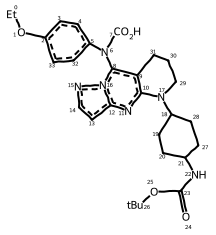 CCOc1ccc(N(C(=O)O)c2c3c(nc4ccnn24)N(C2CCC(NC(=O)OC(C)(C)C)CC2)CCC3)cc1